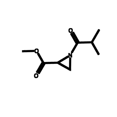 COC(=O)C1CN1C(=O)C(C)C